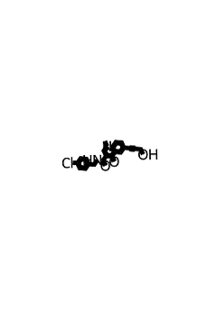 Cn1cc(C(=O)NCc2ccc(Cl)cc2)c(=O)c2cc(C#CCO)ccc21